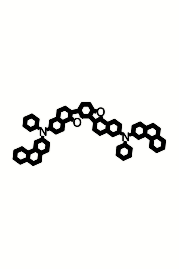 c1ccc(N(c2ccc3c(ccc4c5ccc6oc7c8ccc(N(c9ccccc9)c9ccc%10ccc%11ccccc%11c%10c9)cc8ccc7c6c5oc34)c2)c2ccc3ccc4ccccc4c3c2)cc1